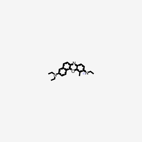 CC/N=c1\ccc2nc3ccc4cc(N(CC)CC)ccc4c3oc-2c1C